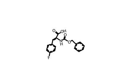 O=C(NC(=Cc1ccc(F)cc1)C(=O)O)OCc1ccccc1